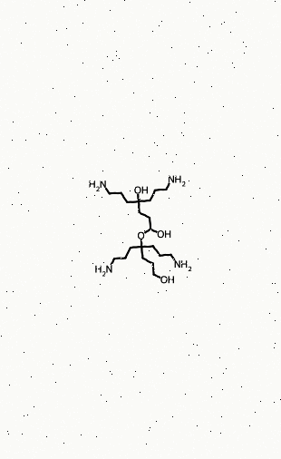 NCCCC(O)(CCCN)CCC(O)OC(CCCN)(CCCN)CCCO